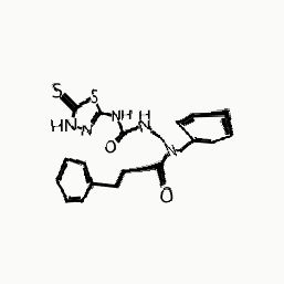 O=C(Nc1n[nH]c(=S)s1)NN(Cc1ccccc1)C(=O)CCc1ccccc1